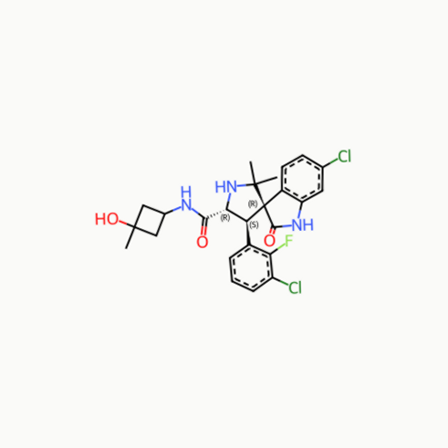 CC1(O)CC(NC(=O)[C@@H]2NC(C)(C)[C@@]3(C(=O)Nc4cc(Cl)ccc43)[C@H]2c2cccc(Cl)c2F)C1